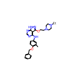 CCN1CCN(CCOc2n[nH]c3ncnc(Nc4ccc(OCc5ccccc5)c(C)c4)c23)CC1